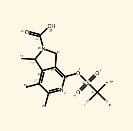 Cc1nc(OS(=O)(=O)C(F)(F)F)c2c(c1C)C(C)N(C(=O)O)C2